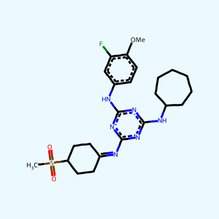 COc1ccc(Nc2nc(N=C3CCC(S(C)(=O)=O)CC3)nc(NC3CCCCCC3)n2)cc1F